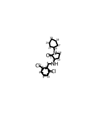 O=C1C(NCc2c(Cl)cccc2Cl)CCN1C1CCCCC1